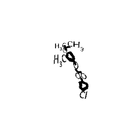 CCC(C)Oc1ccc(OCC2COC(c3ccc(Cl)cc3)O2)cc1C